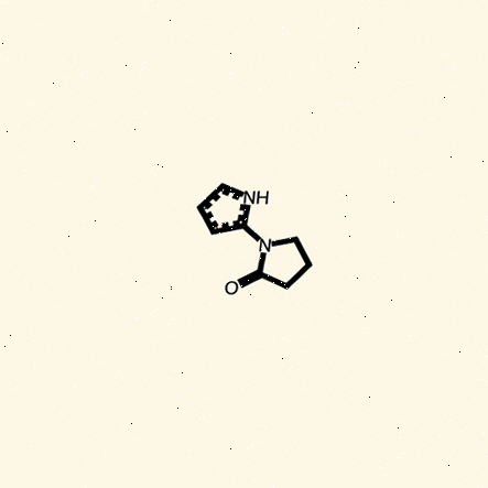 O=C1CCCN1c1ccc[nH]1